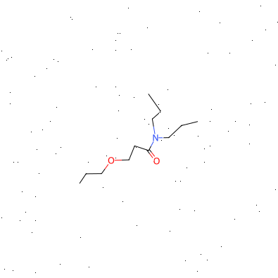 CCCOCCC(=O)N(CCC)CCC